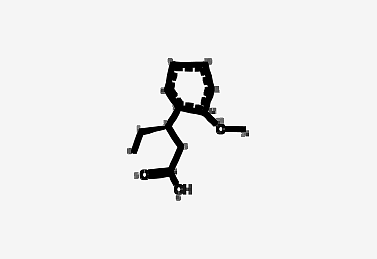 CC[C@H](CC(=O)O)c1ccccc1OC